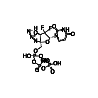 [N-]=[N+]=N[C@]1(COP(=O)(O)OP(=O)(O)OP(=O)(O)O)O[C@@H](n2ccc(=O)[nH]c2=O)C(F)(F)[C@@H]1O